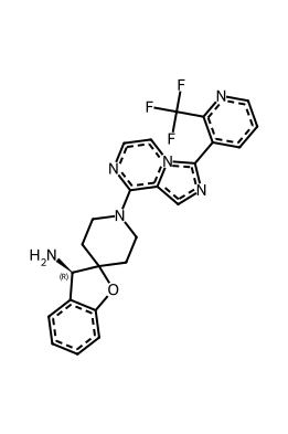 N[C@@H]1c2ccccc2OC12CCN(c1nccn3c(-c4cccnc4C(F)(F)F)ncc13)CC2